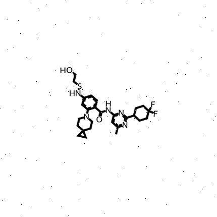 Cc1cc(NC(=O)c2ccc(NSCCO)cc2N2CCC3(CC2)CC3)nc(C2CCC(F)(F)CC2)n1